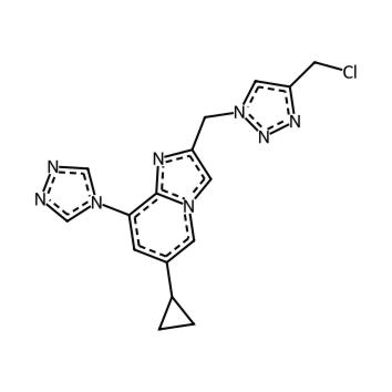 ClCc1cn(Cc2cn3cc(C4CC4)cc(-n4cnnc4)c3n2)nn1